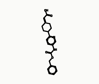 O=C(O)C=C1CCC(c2ccc(NC(=O)OCc3ccccc3)cn2)CC1